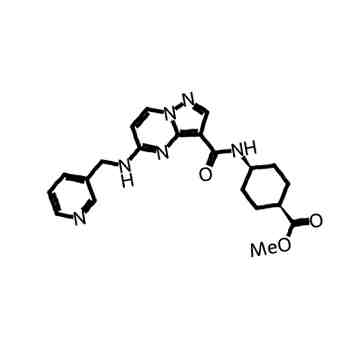 COC(=O)[C@H]1CC[C@@H](NC(=O)c2cnn3ccc(NCc4cccnc4)nc23)CC1